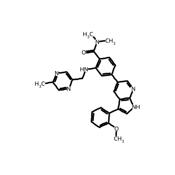 COc1ccccc1-c1c[nH]c2ncc(-c3ccc(C(=O)N(C)C)c(NCc4cnc(C)cn4)c3)cc12